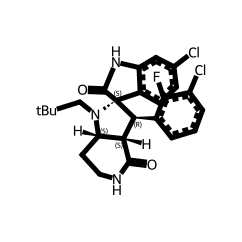 CC(C)(C)CN1[C@H]2CCNC(=O)[C@H]2[C@H](c2cccc(Cl)c2F)[C@]12C(=O)Nc1cc(Cl)ccc12